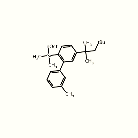 CCCCCCCC[Si](C)(C)c1ccc(C(C)(C)CC(C)(C)C)cc1-c1cccc(C)c1